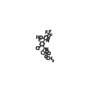 COC(=O)C12CCCC1C(c1cc(-c3nnc(C(F)(F)F)cc3O)c(F)cc1Cl)=NO2